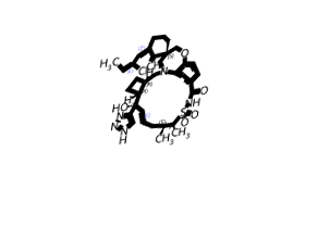 C=C1/C(=C\C(Cl)=C/C)CCC[C@]12COc1ccc3cc1N(C[C@@H]1CC[C@H]1[C@](O)(c1c[nH]nn1)/C=C/C[C@H](C)[C@@H](C)S(=O)(=O)NC3=O)C2